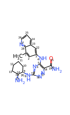 Cc1cc(Nc2nc(N[C@@H]3CCCC[C@@H]3N)nnc2C(N)=O)cc2cccnc12